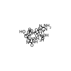 Nc1nc2c(ncn2[C@@H]2O[C@H](CO)C(OP(=O)(O)OC[C@H]3O[C@@H](n4cnc5c(N)ncnc54)C(OC[PH](=O)O)C3O)C2F)c(=O)[nH]1